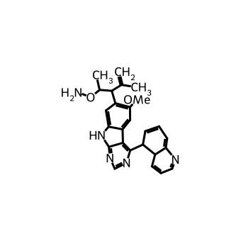 C=C(C)C(c1cc2[nH]c3ncnc(C4C=CC=C5N=CC=CC54)c3c2cc1OC)C(C)ON